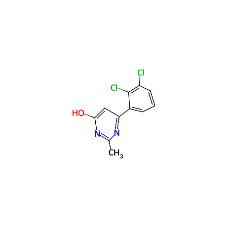 Cc1nc(O)cc(-c2cccc(Cl)c2Cl)n1